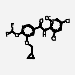 O=C(Nc1c(Cl)cc(Cl)c[n+]1[O-])c1ccc(OC(F)F)c(OCC2CC2)c1